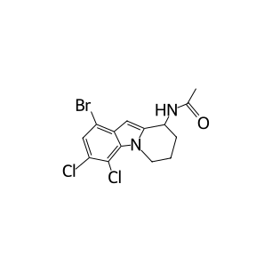 CC(=O)NC1CCCn2c1cc1c(Br)cc(Cl)c(Cl)c12